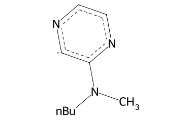 CCCCN(C)c1[c]nccn1